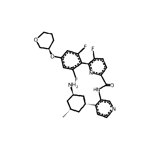 C[C@@H]1C[C@@H](N)C[C@H](c2ccncc2NC(=O)c2ccc(F)c(-c3c(F)cc(O[C@@H]4CCCOC4)cc3F)n2)C1